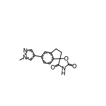 Cn1cc(-c2ccc3c(c2)CCC32OC(=O)NC2=O)cn1